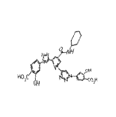 O=C(NC1CCCCC1)c1cc(-c2cn(-c3ccc(C(=O)O)c(O)c3)nn2)nc(-c2cn(-c3ccc(C(=O)O)c(O)c3)nn2)c1